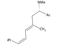 CN[C@@H](C/C(C)=C/C=C\C(C)C)C(C)=O